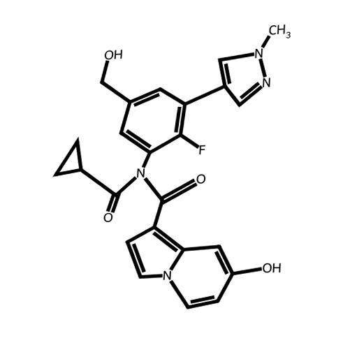 Cn1cc(-c2cc(CO)cc(N(C(=O)c3ccn4ccc(O)cc34)C(=O)C3CC3)c2F)cn1